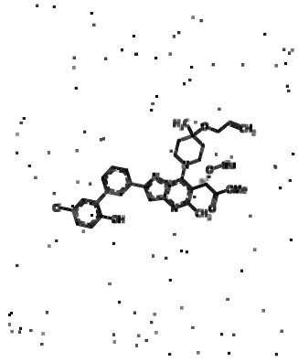 C=CCOC1(C)CCN(c2c([C@H](OC(C)(C)C)C(=O)OC)c(C)nc3cc(-c4cccc(-c5cc(Cl)ccc5O)c4)nn23)CC1